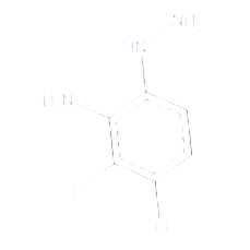 NNc1ccc(Cl)c(F)c1N